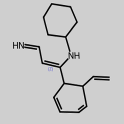 C=CC1C=CC=CC1/C(=C/C=N)NC1CCCCC1